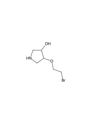 OC1CNCC1OCCBr